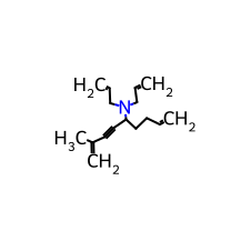 C=CCCC(C#CC(=C)C)N(CC=C)CC=C